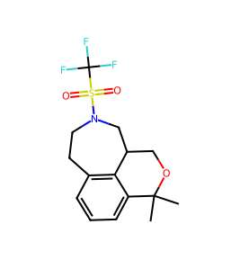 CC1(C)OCC2CN(S(=O)(=O)C(F)(F)F)CCc3cccc1c32